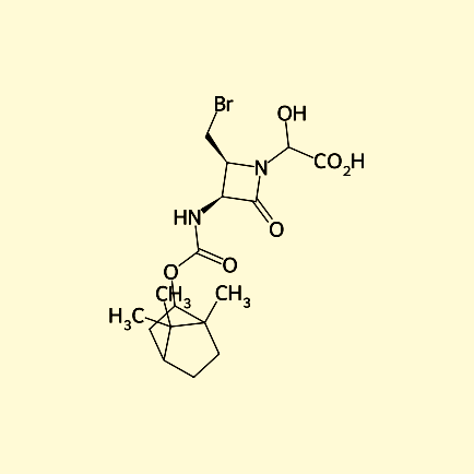 CC1(C)C2CCC1(C)C(OC(=O)N[C@@H]1C(=O)N(C(O)C(=O)O)[C@@H]1CBr)C2